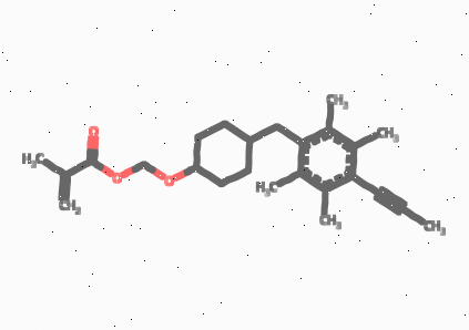 C=C(C)C(=O)OCOC1CCC(Cc2c(C)c(C)c(C#CC)c(C)c2C)CC1